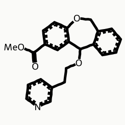 COC(=O)c1ccc2c(c1)C(OCCc1cccnc1)c1ccccc1CO2